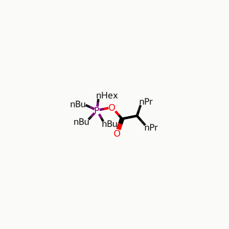 CCCCCCP(CCCC)(CCCC)(CCCC)OC(=O)C(CCC)CCC